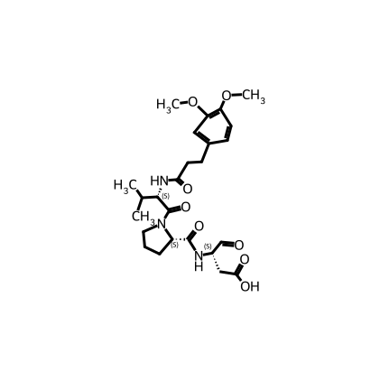 COc1ccc(CCC(=O)N[C@H](C(=O)N2CCC[C@H]2C(=O)N[C@H](C=O)CC(=O)O)C(C)C)cc1OC